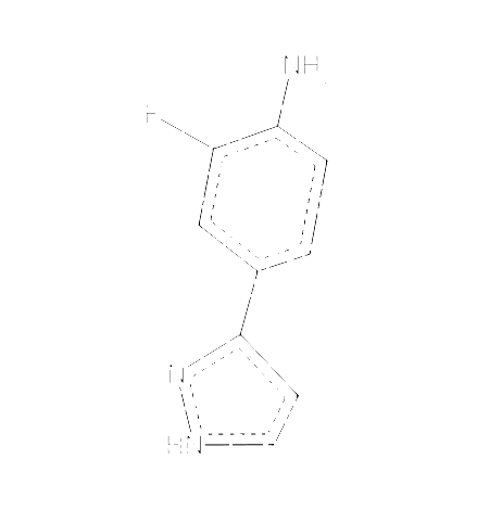 Nc1ccc(-c2cc[nH]n2)cc1F